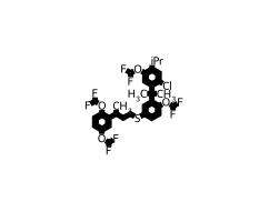 CC(C)c1cc(Cl)c(C(C)(C)c2cc(SCCC(C)c3cc(OC(F)F)ccc3OC(F)F)ccc2OC(F)F)cc1OC(F)F